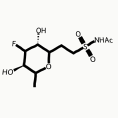 CC(=O)NS(=O)(=O)CCC1OC(C)[C@@H](O)C(F)[C@@H]1O